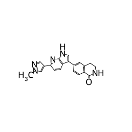 Cn1cc(-c2ccc3c(-c4ccc5c(c4)CCNC5=O)c[nH]c3n2)cn1